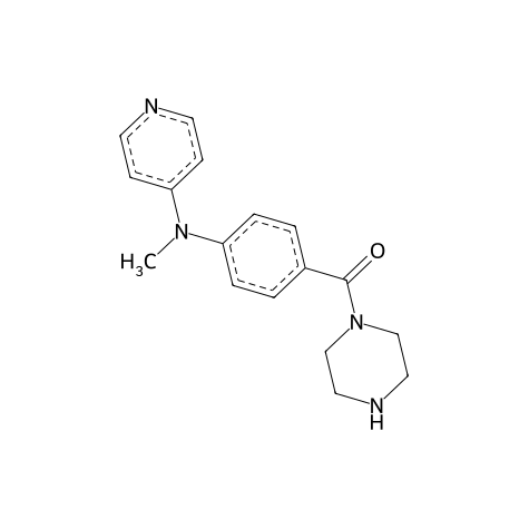 CN(c1ccncc1)c1ccc(C(=O)N2CCNCC2)cc1